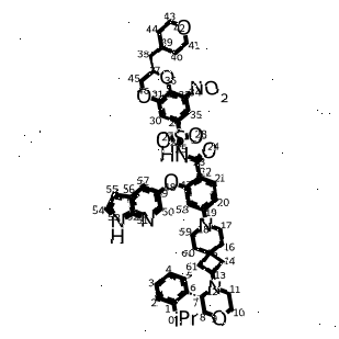 CC(C)c1ccccc1[C@H]1COCCN1C1CC2(CCN(c3ccc(C(=O)NS(=O)(=O)c4cc5c(c([N+](=O)[O-])c4)O[C@H](CC4CCOCC4)CO5)c(Oc4cnc5[nH]ccc5c4)c3)CC2)C1